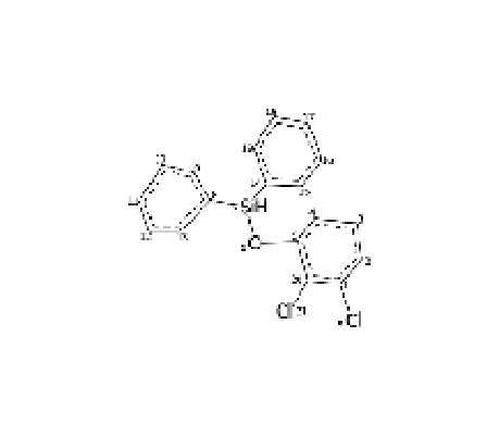 Clc1cccc(O[SiH](c2ccccc2)c2ccccc2)c1Cl